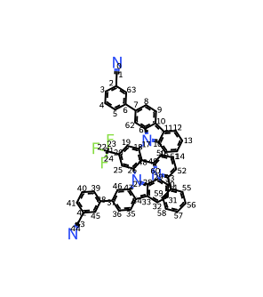 N#Cc1cccc(-c2ccc3c4ccccc4n(-c4cc(C(F)(F)F)cc(-n5c6ccccc6c6ccc(-c7cccc(C#N)c7)cc65)c4-c4cccc(-c5ccccc5)n4)c3c2)c1